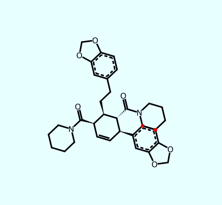 O=C([C@H]1[C@H](CCc2ccc3c(c2)OCO3)[C@H](C(=O)N2CCCCC2)C=C[C@@H]1c1ccc2c(c1)OCO2)N1CCCCC1